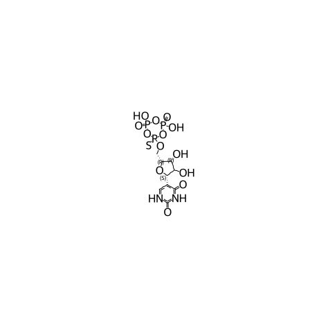 O=c1[nH]cc([C@@H]2O[C@H](COP3(=S)OP(=O)(O)OP(=O)(O)O3)[C@H](O)C2O)c(=O)[nH]1